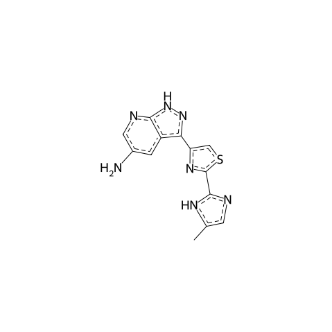 Cc1cnc(-c2nc(-c3n[nH]c4ncc(N)cc34)cs2)[nH]1